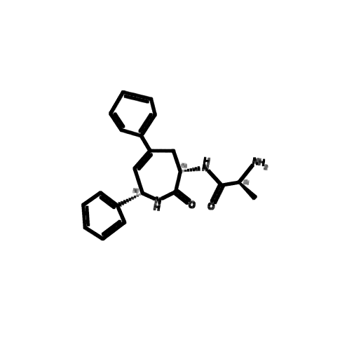 C[C@H](N)C(=O)N[C@H]1CC(c2ccccc2)=C[C@@H](c2ccccc2)NC1=O